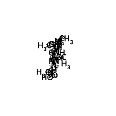 CCOc1nc(N2CCC(N(C)C(=O)O)C2)ncc1C(=O)Nc1cc(OC)c2nc(C)cn2c1